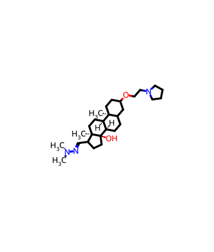 CN(C)/N=C/C1CC[C@@]2(O)[C@@H]3CCC4CC(OCCN5CCCC5)CC[C@]4(C)[C@@H]3CC[C@]12C